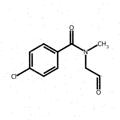 CN(C[C]=O)C(=O)c1ccc(Cl)cc1